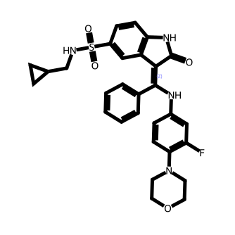 O=C1Nc2ccc(S(=O)(=O)NCC3CC3)cc2/C1=C(/Nc1ccc(N2CCOCC2)c(F)c1)c1ccccc1